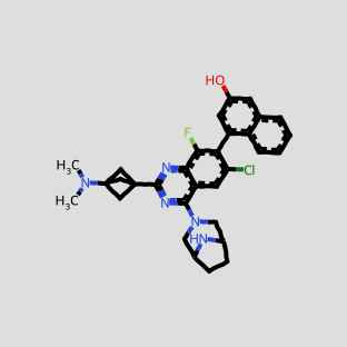 CN(C)C12CC(c3nc(N4CC5CCC(C4)N5)c4cc(Cl)c(-c5cc(O)cc6ccccc56)c(F)c4n3)(C1)C2